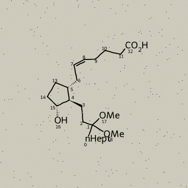 CCCCCCCC(CC[C@@H]1[C@@H](C/C=C\CCCC(=O)O)CC[C@H]1O)(OC)OC